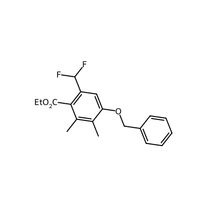 CCOC(=O)c1c(C(F)F)cc(OCc2ccccc2)c(C)c1C